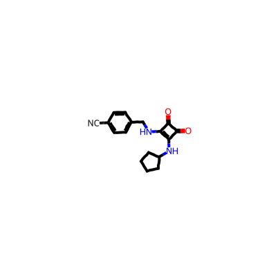 N#Cc1ccc(CNc2c(NC3CCCC3)c(=O)c2=O)cc1